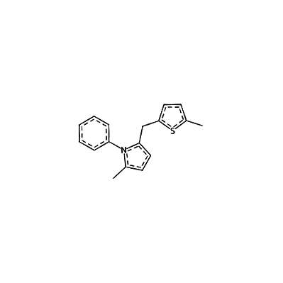 Cc1ccc(Cc2ccc(C)n2-c2ccccc2)s1